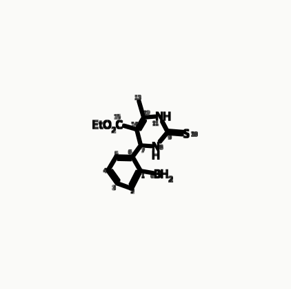 Bc1ccccc1C1NC(=S)NC(C)=C1C(=O)OCC